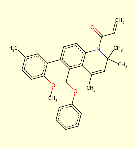 C=CC(=O)N1c2ccc(-c3cc(C)ccc3OC)c(COc3ccccc3)c2C(C)=CC1(C)C